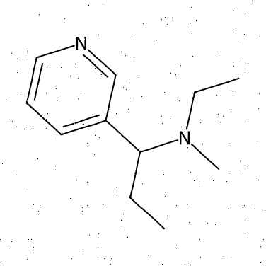 CCC(c1cccnc1)N(C)CC